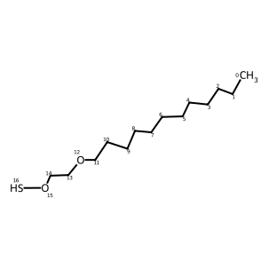 CCCCCCCCCCCCOCCOS